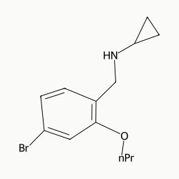 CCCOc1cc(Br)ccc1CNC1CC1